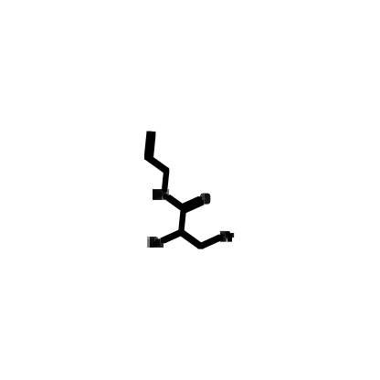 C=CCNC(=O)C(CC(C)C)C(C)CC